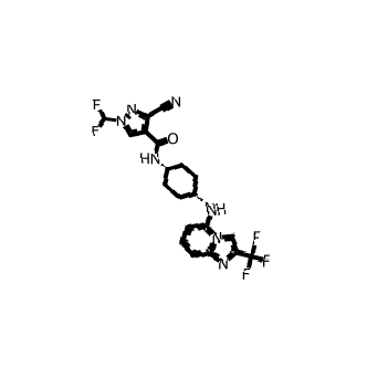 N#Cc1nn(C(F)F)cc1C(=O)N[C@H]1CC[C@@H](Nc2cccc3nc(C(F)(F)F)cn23)CC1